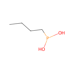 CCCCP(O)O